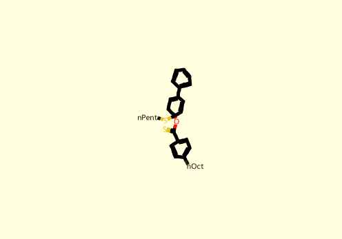 CCCCCCCCc1ccc(C(=S)OC2(SCCCCC)C=CC(c3ccccc3)=CC2)cc1